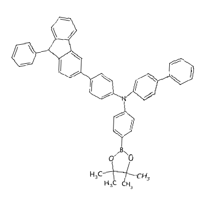 CC1(C)OB(c2ccc(N(c3ccc(-c4ccccc4)cc3)c3ccc(-c4ccc5c(c4)-c4ccccc4C5c4ccccc4)cc3)cc2)OC1(C)C